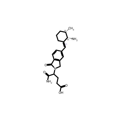 C[C@H]1CCC/C(=C\c2ccc3c(c2)CN(C(CCC(=O)O)C(N)=O)C3=O)[C@H]1N